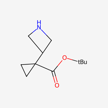 CC(C)(C)OC(=O)C1(C2CNC2)CC1